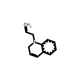 C=CCN1CC=Cc2ccccc21